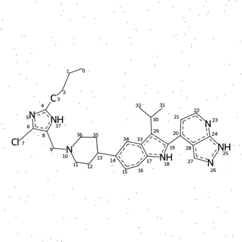 CCCCc1nc(Cl)c(CN2CCC(c3ccc4[nH]c(-c5ccnc6[nH]ncc56)c(C(C)C)c4c3)CC2)[nH]1